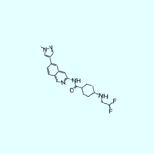 Cn1cc(-c2ccc3cnc(NC(=O)C4CCC(NCC(F)F)CC4)cc3c2)cn1